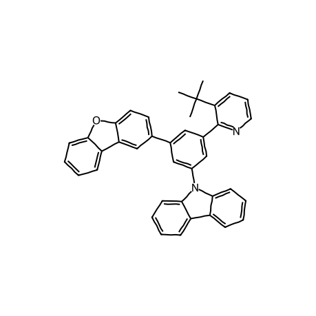 CC(C)(C)c1cccnc1-c1cc(-c2ccc3oc4ccccc4c3c2)cc(-n2c3ccccc3c3ccccc32)c1